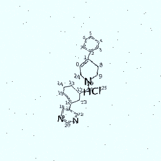 C1=C(c2ccccc2)CCN(CC2CCC=C(c3cncnc3)C2)C1.Cl